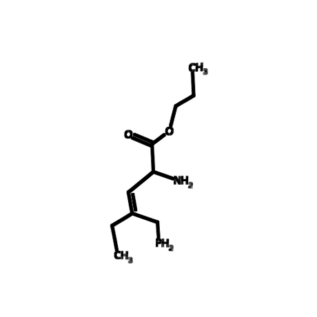 CCCOC(=O)C(N)C=C(CC)CP